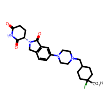 O=C1CC[C@H](N2Cc3ccc(N4CCN(CC5CCC(F)(C(=O)O)CC5)CC4)cc3C2=O)C(=O)N1